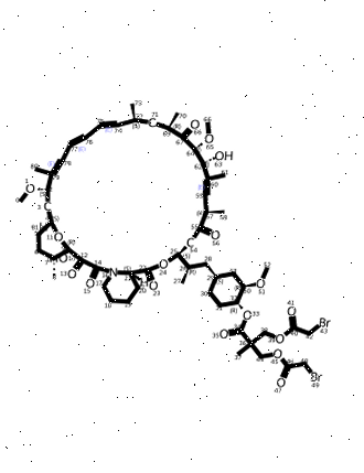 CO[C@H]1C[C@@H]2CC[C@@H](C)[C@@](O)(O2)C(=O)C(=O)N2CCCC[C@H]2C(=O)O[C@H]([C@H](C)C[C@@H]2CC[C@@H](OC(=O)C(C)(COC(=O)CBr)COC(=O)CBr)[C@H](OC)C2)CC(=O)[C@H](C)/C=C(\C)[C@@H](O)[C@@H](OC)C(=O)[C@H](C)C[C@H](C)/C=C/C=C/C=C/1C